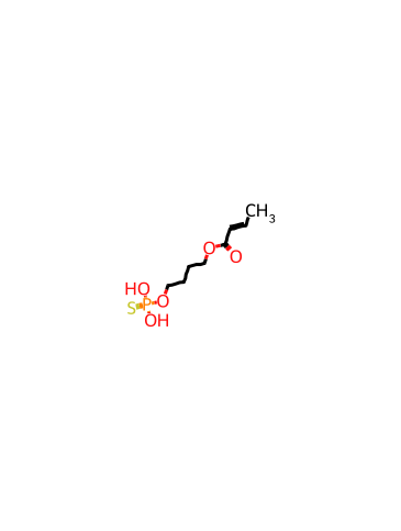 CC=CC(=O)OCCCCOP(O)(O)=S